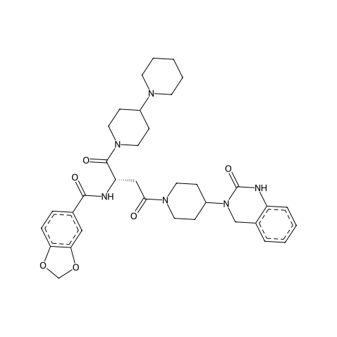 O=C(N[C@@H](CC(=O)N1CCC(N2Cc3ccccc3NC2=O)CC1)C(=O)N1CCC(N2CCCCC2)CC1)c1ccc2c(c1)OCO2